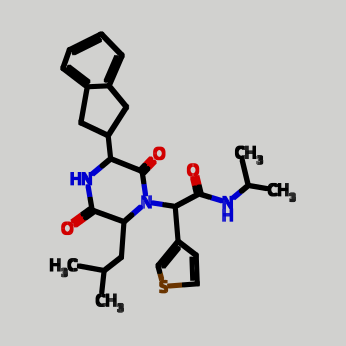 CC(C)CC1C(=O)NC(C2Cc3ccccc3C2)C(=O)N1C(C(=O)NC(C)C)c1ccsc1